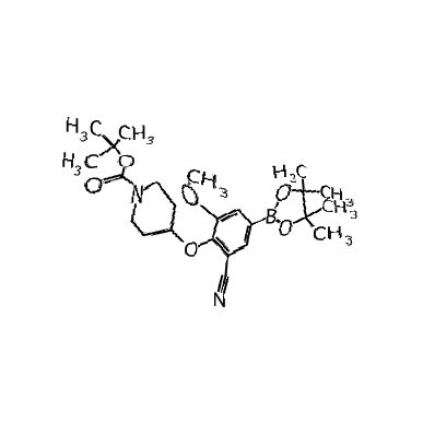 COc1cc(B2OC(C)(C)C(C)(C)O2)cc(C#N)c1OC1CCN(C(=O)OC(C)(C)C)CC1